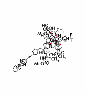 COC(=O)N[C@H](C(=O)N[C@@H](Cc1ccc(C#Cc2cnc(N3CC4CCC(C3)N4C3COC3)nc2)cc1)[C@H](CN(Cc1c(F)cc(-c2ccn(C(F)F)n2)cc1F)NC(=O)[C@@H](NC(=O)OC)C(C)(C)C(F)(F)F)OC(=O)CC(C)(C)c1c(CC(=O)N2CCN(S(C)(=O)=O)CC2)cc(C)cc1OP(=O)(O)O)C(C)(C)C(F)(F)F